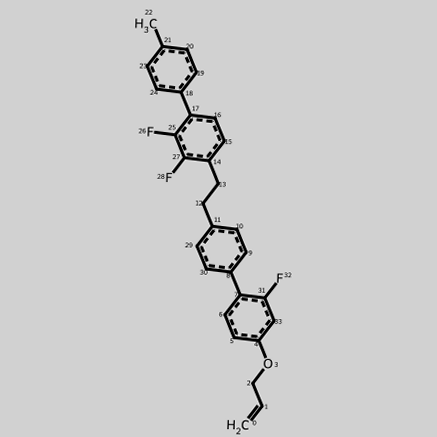 C=CCOc1ccc(-c2ccc(CCc3ccc(-c4ccc(C)cc4)c(F)c3F)cc2)c(F)c1